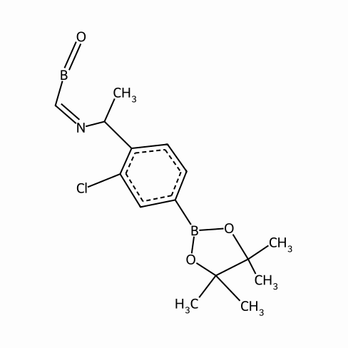 CC(/N=C\B=O)c1ccc(B2OC(C)(C)C(C)(C)O2)cc1Cl